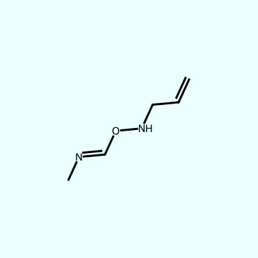 C=CCNOC=NC